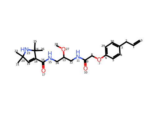 C=CCc1ccc(OCC(=O)NCC(CNC(=O)C2=CC(C)(C)NC2(C)C)OC)cc1